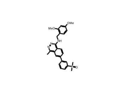 COc1ccc(CNc2nnc(C)c3cc(-c4cccc(P(C)(C)=O)c4)ccc23)c(OC)c1